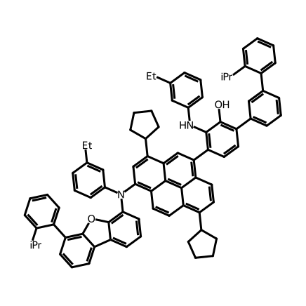 CCc1cccc(Nc2c(-c3cc4c(C5CCCC5)cc(N(c5cccc(CC)c5)c5cccc6c5oc5c(-c7ccccc7C(C)C)cccc56)c5ccc6c(C7CCCC7)ccc3c6c45)ccc(-c3cccc(-c4ccccc4C(C)C)c3)c2O)c1